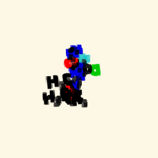 CC[C@@H]1C[C@H](N(Cc2cc(Cl)cc(C(F)(F)F)c2)c2ncc(OCCn3ccnc3)cn2)C[C@H](CC)N1C(=O)OC(C)C